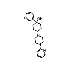 O[C@]1(c2cccnc2)CC[C@@H](N2CCN(c3ccccn3)CC2)CC1